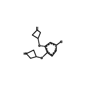 Clc1ccc(OC2CNC2)c(OC2CNC2)c1